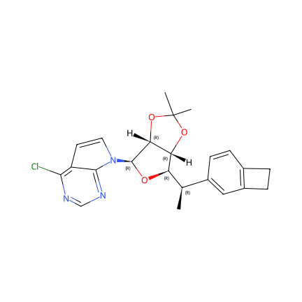 C[C@H](c1ccc2c(c1)CC2)[C@H]1O[C@@H](n2ccc3c(Cl)ncnc32)[C@@H]2OC(C)(C)O[C@@H]21